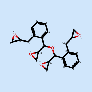 c1ccc(C(OC(c2ccccc2CC2CO2)C2CO2)C2CO2)c(CC2CO2)c1